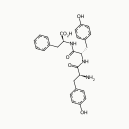 N[C@@H](Cc1ccc(O)cc1)C(=O)N[C@@H](Cc1ccc(O)cc1)C(=O)N[C@@H](Cc1ccccc1)C(=O)O